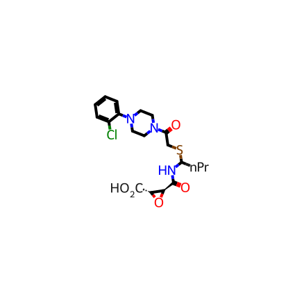 CCCC(NC(=O)[C@H]1O[C@@H]1C(=O)O)SCC(=O)N1CCN(c2ccccc2Cl)CC1